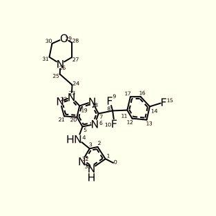 Cc1cc(Nc2nc(C(F)(F)c3ccc(F)cc3)nc3c2cnn3CCN2CCOCC2)n[nH]1